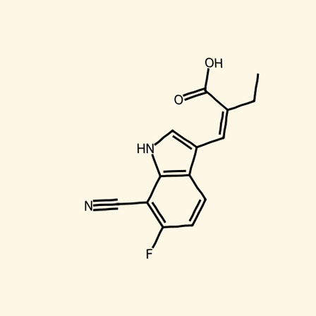 CCC(=Cc1c[nH]c2c(C#N)c(F)ccc12)C(=O)O